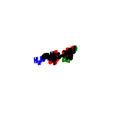 CCOC(=O)N1c2cc(OCCCCCOc3cc4c(cc3OC)C(=O)N3C=C(OS(=O)(=O)C(F)(F)F)C[C@H]3[C@H](O[Si](C)(C)C(C)(C)C)N4C(=O)OCC(Cl)(Cl)Cl)c(OC)cc2C(=O)N2C=C(c3cccc(N)c3)C[C@H]2[C@@H]1C